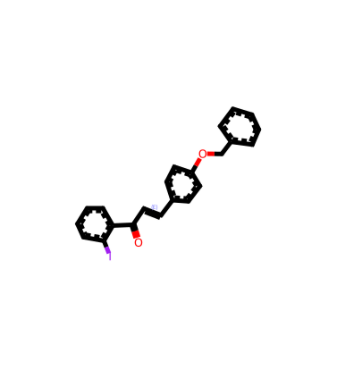 O=C(/C=C/c1ccc(OCc2ccccc2)cc1)c1ccccc1I